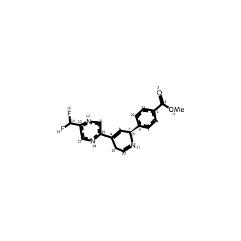 COC(=O)c1ccc([C@@H]2C=C(c3cnc(C(F)F)cn3)CC=N2)cc1